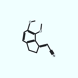 COc1ccc2c(c1OC)/C(=C/C#N)CC2